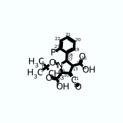 CC(C)(C)ON1C(C(=O)O)C(=C=O)C(C(=O)O)C1c1ccccc1F